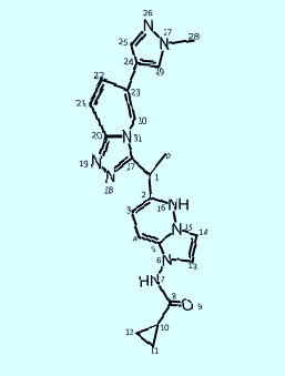 CC(C1=CC=C2N(NC(=O)C3CC3)C=CN2N1)c1nnc2ccc(-c3cnn(C)c3)cn12